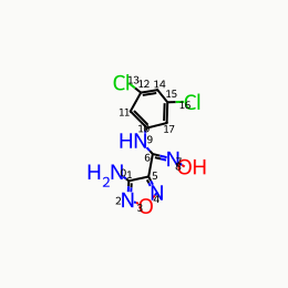 Nc1nonc1/C(=N\O)Nc1cc(Cl)cc(Cl)c1